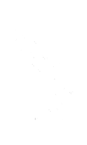 CC(C)C(C)NC(=O)c1cnc(-c2cccc(-c3nnc(C(=O)NC(C)C4CC4)[nH]3)c2)o1